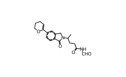 CC(CCC(=O)NC=O)N1Cc2cc(C3=CCCCO3)ccc2C1=O